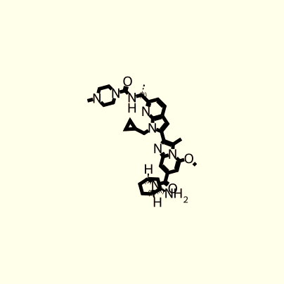 COc1cc(C(=O)N2[C@H]3CC[C@@H]2[C@H](N)C3)cc2nc(-c3cc4ccc([C@@H](C)NC(=O)N5CCN(C)CC5)nc4n3CC3CC3)c(C)n12